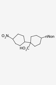 CCCCCCCCCC1CCC(C(=O)O)(C2CCC([N+](=O)[O-])CC2)CC1